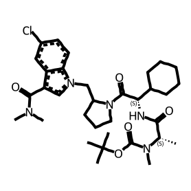 C[C@@H](C(=O)N[C@H](C(=O)N1CCCC1Cn1cc(C(=O)N(C)C)c2cc(Cl)ccc21)C1CCCCC1)N(C)C(=O)OC(C)(C)C